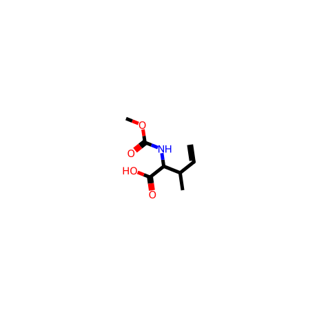 C=CC(C)C(NC(=O)OC)C(=O)O